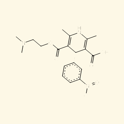 CC1=C(C(=O)O)[C@H](c2cccc([N+](=O)[O-])c2)C(C(=O)OCCN(C)C)=C(C)N1